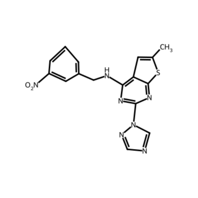 Cc1cc2c(NCc3cccc([N+](=O)[O-])c3)nc(-n3cncn3)nc2s1